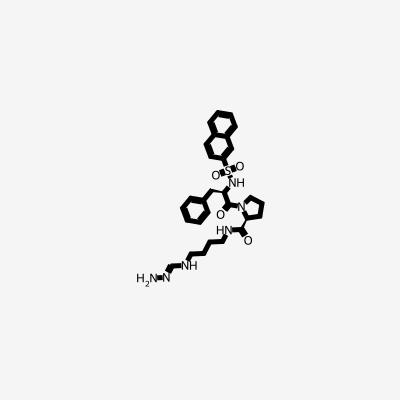 NN=CNCCCCNC(=O)[C@@H]1CCCN1C(=O)[C@@H](Cc1ccccc1)NS(=O)(=O)c1ccc2ccccc2c1